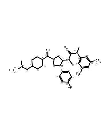 CN(CC1CCC(C(=O)N2C[C@@H](N(C)C(=O)N(C)c3cc(C(F)(F)F)cc(C(F)(F)F)c3)[C@H](c3ccc(F)cc3)C2)CC1)C(=O)O